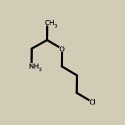 CC(CN)OCCCCl